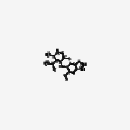 COc1cc2c(cc1NC1=C(C(N)Br)C(N)NCN1I)CNN2